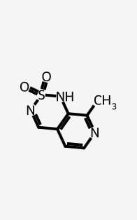 Cc1nccc2c1NS(=O)(=O)N=C2